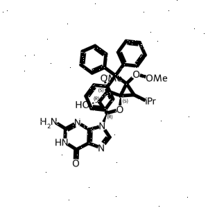 COOC1(C(c2ccccc2)(c2ccccc2)c2ccccc2)C(C(C)C)[C@@]12O[C@@H](n1cnc3c(=O)[nH]c(N)nc31)[C@H](O)[C@@H]2OC